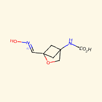 O=C(O)NC12COC(/C=N/O)(C1)C2